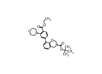 CCOC(=O)c1ccc(-c2cccc3c2OCN(C(=O)OC(C)(C)C)C3)cc1N1CCOCC1